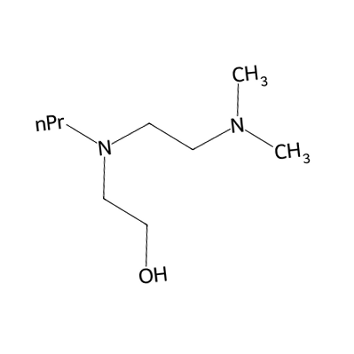 CCCN(CCO)CCN(C)C